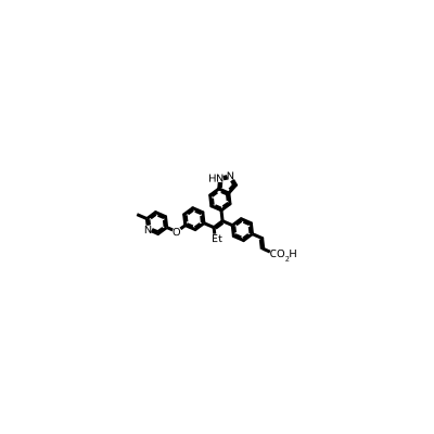 CCC(=C(c1ccc(C=CC(=O)O)cc1)c1ccc2[nH]ncc2c1)c1cccc(Oc2ccc(C)nc2)c1